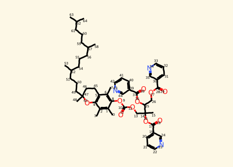 Cc1c(C)c2c(c(C)c1OC(=O)OCC(C)(OC(=O)c1cccnc1)C(COC(=O)c1cccnc1)OC(=O)c1cccnc1)CCC(C)(CCCC(C)CCCC(C)CCCC(C)C)O2